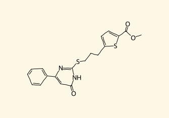 COC(=O)c1ccc(CCCSc2nc(-c3ccccc3)cc(=O)[nH]2)s1